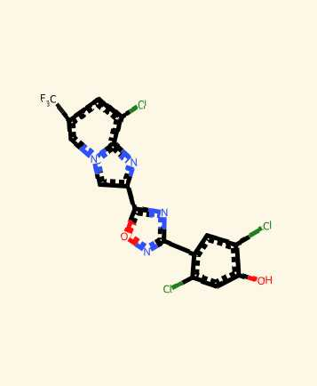 Oc1cc(Cl)c(-c2noc(-c3cn4cc(C(F)(F)F)cc(Cl)c4n3)n2)cc1Cl